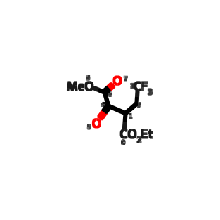 CCOC(=O)C(CC(F)(F)F)C(=O)C(=O)OC